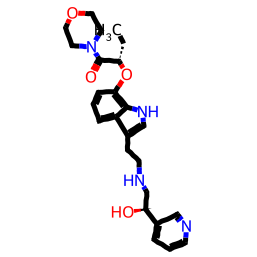 CC[C@H](Oc1cccc2c(CCNC[C@H](O)c3cccnc3)c[nH]c12)C(=O)N1CCOCC1